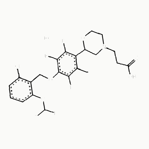 Cc1c(F)c(OCc2c(Cl)cccc2OC(F)F)c(F)c(F)c1C1CN(CCC(=O)O)CCO1.Cl